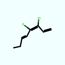 C=C/C(Cl)=C(F)\C=C\CC